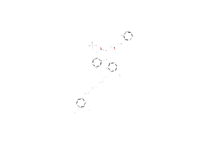 COc1ccc(CCCNCCCOc2cccc(C3OC(CC(=O)NCc4ccccc4F)C(=O)N(CC(C)(C)C)c4ccc(Cl)cc43)c2OC)cc1OC.Cl